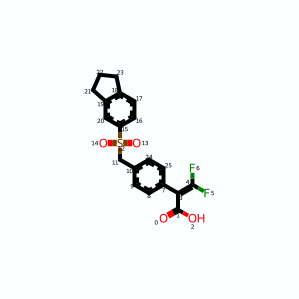 O=C(O)C(=C(F)F)c1ccc(CS(=O)(=O)c2ccc3c(c2)CCC3)cc1